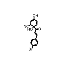 N#CC1C=C(O)C=CC1(O)C(=O)C=Cc1ccc(Br)cc1